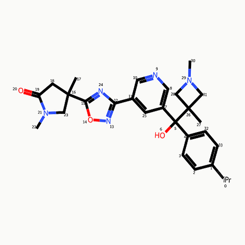 CC(C)c1ccc(C(O)(c2cncc(-c3noc(C4(C)CC(=O)N(C)C4)n3)c2)C2(C)CN(C)C2)cc1